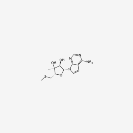 CSC[C@H]1O[C@@H](n2ccc3c(N)ncnc32)[C@H](O)[C@]1(C)O